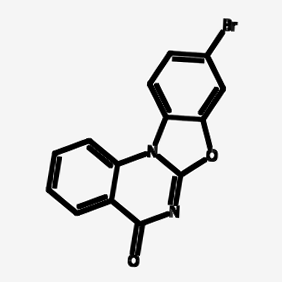 O=c1nc2oc3cc(Br)ccc3n2c2ccccc12